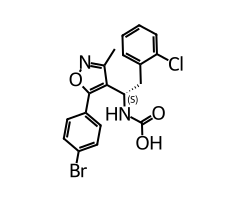 Cc1noc(-c2ccc(Br)cc2)c1[C@H](Cc1ccccc1Cl)NC(=O)O